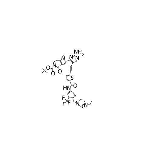 CCN1CCN(Cc2ccc(NC(=O)c3ccc(C#Cc4cnc(N)nc4-c4cc5c(n4C)CCN(C(=O)OC(C)(C)C)C5=O)s3)cc2C(F)(F)F)CC1